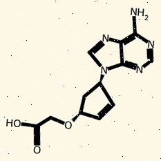 Nc1ncnc2c1ncn2[C@H]1C=C[C@@H](OCC(=O)O)C1